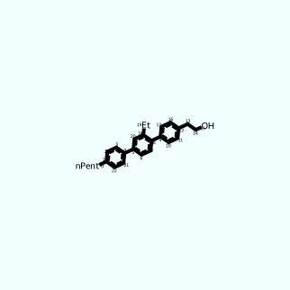 CCCCCc1ccc(-c2ccc(-c3ccc(CCO)cc3)c(CC)c2)cc1